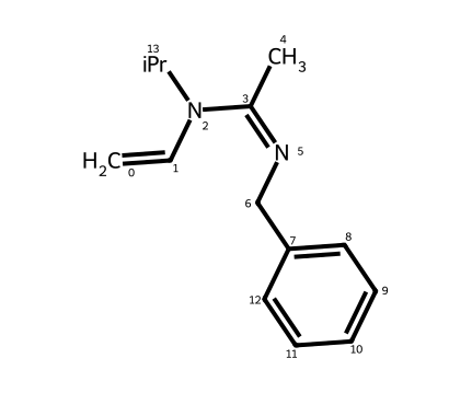 C=CN(C(C)=NCc1ccccc1)C(C)C